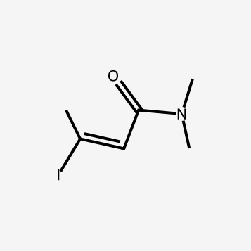 C/C(I)=C\C(=O)N(C)C